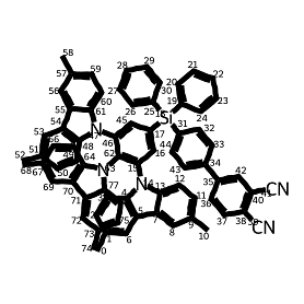 Cc1ccc2c(c1)c1cc(C)ccc1n2-c1cc([Si](c2ccccc2)(c2ccccc2)c2ccc(-c3ccc(C#N)c(C#N)c3)cc2)cc(-n2c3ccc(C)cc3c3cc(C)ccc32)c1-n1c2ccc(C)cc2c2cc(C)ccc21